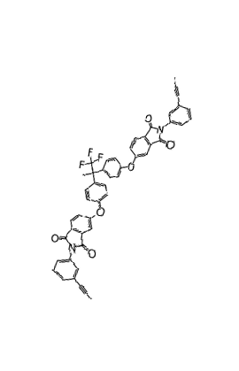 CC#Cc1cccc(N2C(=O)c3ccc(Oc4ccc(C(C)(c5ccc(Oc6ccc7c(c6)C(=O)N(c6cccc(C#CC)c6)C7=O)cc5)C(F)(F)F)cc4)cc3C2=O)c1